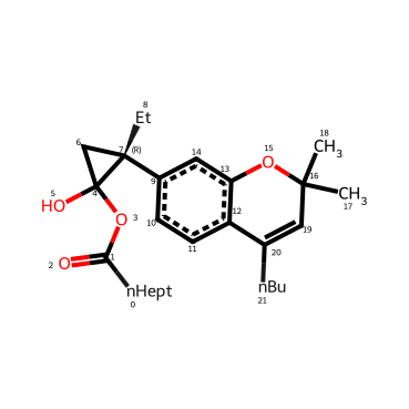 CCCCCCCC(=O)OC1(O)C[C@]1(CC)c1ccc2c(c1)OC(C)(C)C=C2CCCC